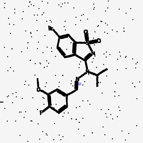 COc1cc(/C=N/N(C2=NS(=O)(=O)c3cc(Br)ccc32)C(C)C)ccc1F